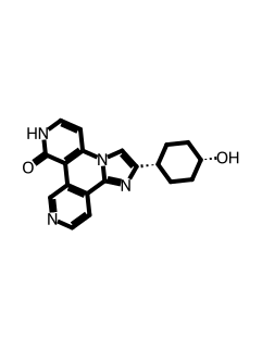 O=c1[nH]ccc2c1c1cnccc1c1nc([C@H]3CC[C@@H](O)CC3)cn21